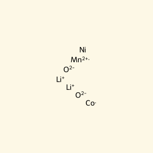 [Co].[Li+].[Li+].[Mn+2].[Ni].[O-2].[O-2]